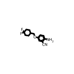 N#Cc1cc(OCC2CCC(F)(F)CC2)ccc1N